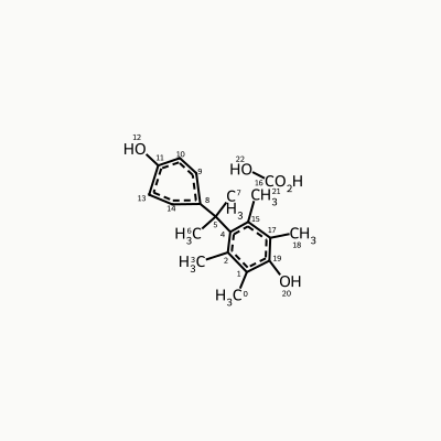 Cc1c(C)c(C(C)(C)c2ccc(O)cc2)c(C)c(C)c1O.O=C(O)O